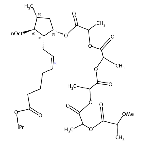 CCCCCCCC[C@@H]1[C@@H](C/C=C\CCCC(=O)OC(C)C)[C@@H](OC(=O)C(C)OC(=O)C(C)OC(=O)C(C)OC(=O)C(C)OC(=O)C(C)OC)C[C@H]1C